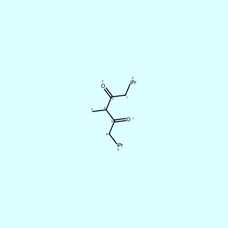 CC(C)CC(=O)C(C)C(=O)CC(C)C